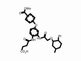 COC(=O)c1ccc(Oc2ccc(NC(=O)CCC(=O)O)c(NC(=O)COC3CC(C)CCC3C(C)C)c2)cc1